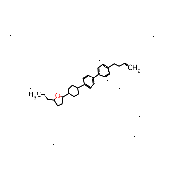 C=CCCc1ccc(-c2ccc(C3CCC(C4CCC(CCC)O4)CC3)cc2)cc1